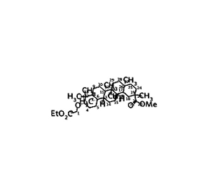 CCOC(=O)CO[C@H]1CC[C@@]2(C)C(CC[C@]3(C)[C@@H]2CC=C2[C@@H]4CC(C)(C(=O)OC)CC[C@]4(C)CC[C@]23C)C1(C)C